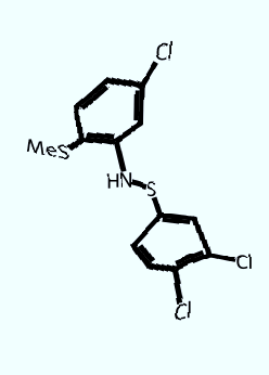 CSc1ccc(Cl)cc1NSc1ccc(Cl)c(Cl)c1